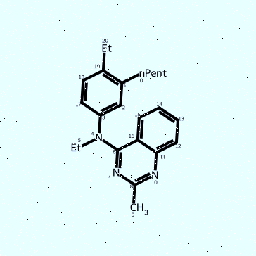 CCCCCc1cc(N(CC)c2nc(C)nc3ccccc23)ccc1CC